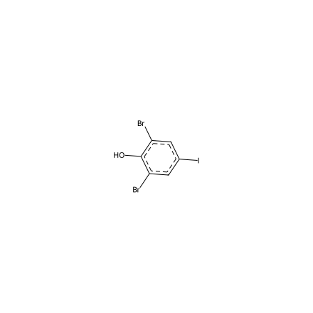 Oc1c(Br)cc(I)cc1Br